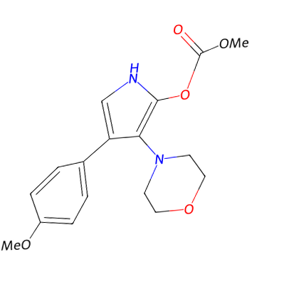 COC(=O)Oc1[nH]cc(-c2ccc(OC)cc2)c1N1CCOCC1